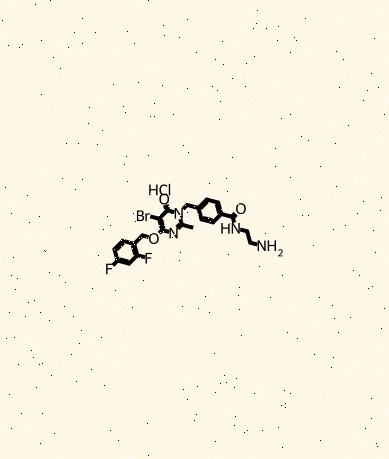 Cc1nc(OCc2ccc(F)cc2F)c(Br)c(=O)n1Cc1ccc(C(=O)NCCN)cc1.Cl